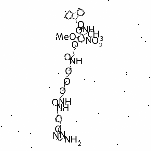 COc1cc(C(C)NC(=O)OCC2c3ccccc3-c3ccccc32)c([N+](=O)[O-])cc1OCCCC(=O)NCCOCCOCCOCCNC(=O)NCc1ccc(COc2nccc(N)n2)cc1